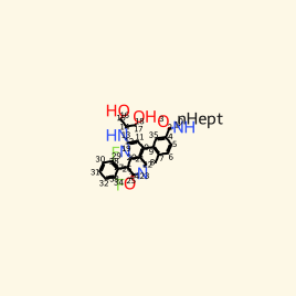 CCCCCCCNC(=O)c1ccc(C)c(-c2cc(NC(CO)CO)nc3c2C=NC(=O)C3c2c(F)cccc2F)c1